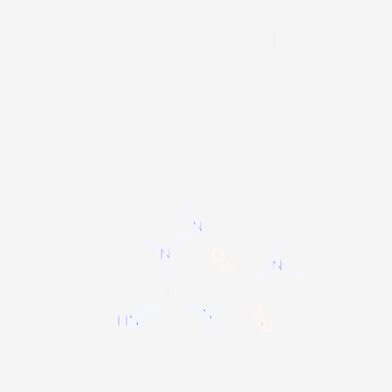 CN(C(=N)N1CC(c2ccccc2)C(c2ccc(Cl)cc2)=N1)S(=O)(=O)N1CCCCC1